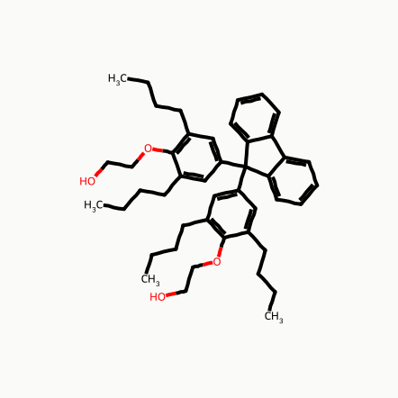 CCCCc1cc(C2(c3cc(CCCC)c(OCCO)c(CCCC)c3)c3ccccc3-c3ccccc32)cc(CCCC)c1OCCO